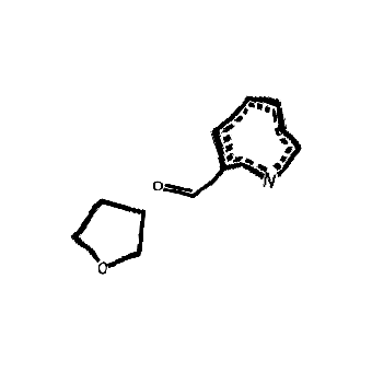 C1CCOC1.O=Cc1ccccn1